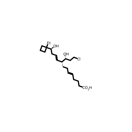 CCC1([C@@H](O)CC=C[C@@H](CCC=CCCCC(=O)O)[C@H](O)CCCl)CCC1